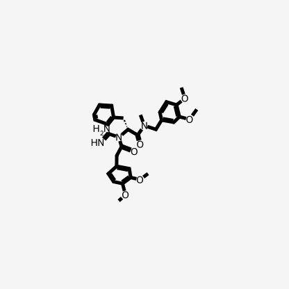 COc1ccc(CC(=O)N(C(=N)N)[C@H](Cc2ccccc2)C(=O)N(C)Cc2ccc(OC)c(OC)c2)cc1OC